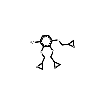 Cc1ccc(OCC2CO2)c(OCC2CO2)c1OCC1CO1